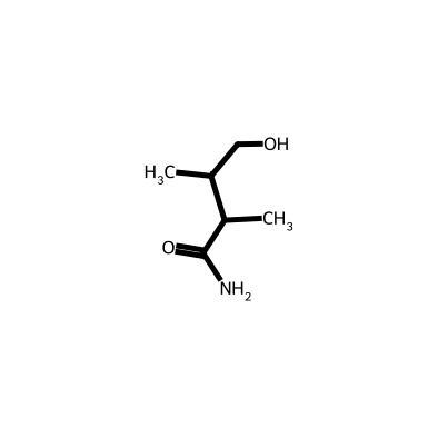 C[C](CO)C(C)C(N)=O